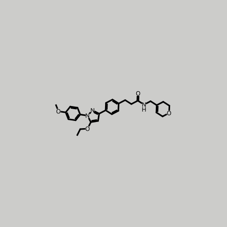 CCOc1cc(-c2ccc(CCC(=O)NCC3=CCOCC3)cc2)nn1-c1ccc(OC)cc1